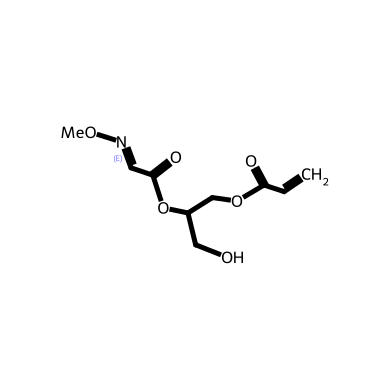 C=CC(=O)OCC(CO)OC(=O)/C=N/OC